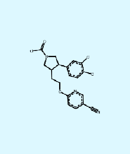 N#Cc1ccc(OCCC2CN(C(=O)Cl)CC2c2ccc(Cl)c(Cl)c2)nc1